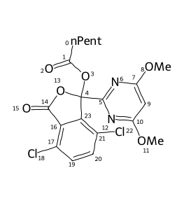 CCCCCC(=O)OC1(c2nc(OC)cc(OC)n2)OC(=O)c2c(Cl)ccc(Cl)c21